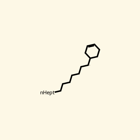 CCCCCCCCCCCCC[CH]C1CC=CCC1